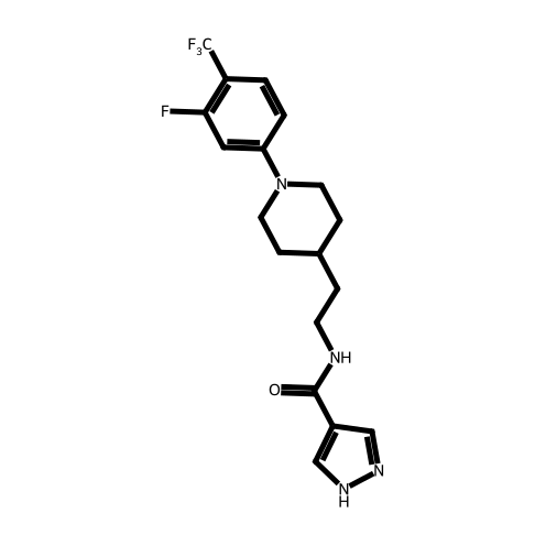 O=C(NCCC1CCN(c2ccc(C(F)(F)F)c(F)c2)CC1)c1cn[nH]c1